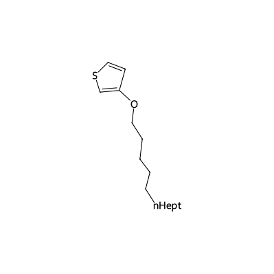 CCCCCCCCCCCCOc1ccsc1